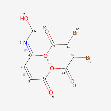 O=C(/C=C\C(=N\CO)OC(=O)CBr)OC(=O)CBr